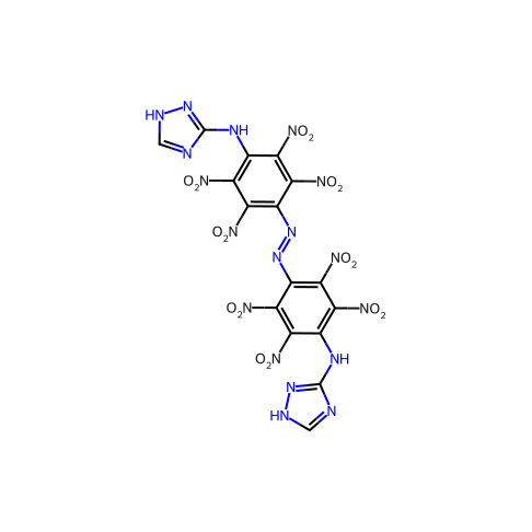 O=[N+]([O-])c1c(N=Nc2c([N+](=O)[O-])c([N+](=O)[O-])c(Nc3nc[nH]n3)c([N+](=O)[O-])c2[N+](=O)[O-])c([N+](=O)[O-])c([N+](=O)[O-])c(Nc2nc[nH]n2)c1[N+](=O)[O-]